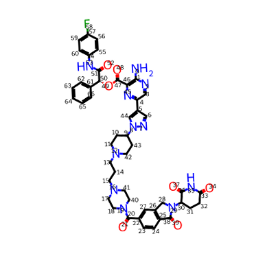 Nc1ncc(-c2cnn(C3CCN(CCCN4CCN(C(=O)c5ccc6c(c5)CN(C5CCC(=O)NC5=O)C6=O)CC4)CC3)c2)nc1C(=O)O[C@@H](C(=O)Nc1ccc(F)cc1)c1ccccc1